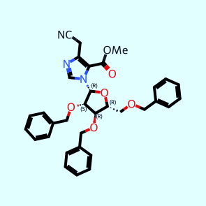 COC(=O)c1c(CC#N)ncn1[C@@H]1O[C@H](COCc2ccccc2)[C@@H](OCc2ccccc2)[C@@H]1OCc1ccccc1